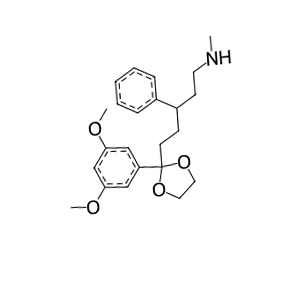 CNCCC(CCC1(c2cc(OC)cc(OC)c2)OCCO1)c1ccccc1